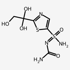 NC(=O)N=S(N)(=O)c1cnc(C(O)(O)CO)s1